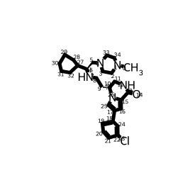 CN1CCN(C[C@@H](NCC[C@@H]2CNC(=O)c3cc(-c4cccc(Cl)c4)cn32)C2CCCCC2)CC1